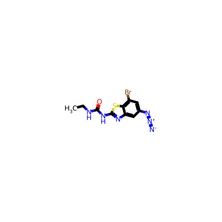 CCNC(=O)Nc1nc2cc(N=[N+]=[N-])cc(Br)c2s1